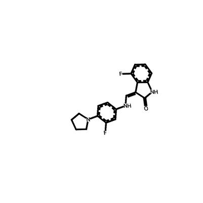 O=C1Nc2cccc(F)c2C1=CNc1ccc(N2CCCC2)c(F)c1